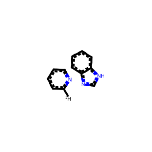 [2H]c1ccccn1.c1ccc2[nH]cnc2c1